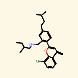 C=C1C=C(c2ccc(CCC(C)C)cc2CNCC(C)CC)Oc2c(Cl)cccc21